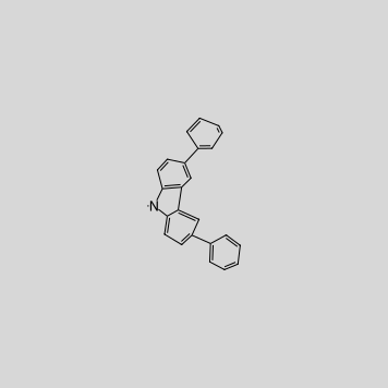 c1ccc(-c2ccc3c(c2)-c2cc(-c4ccccc4)ccc2[N]3)cc1